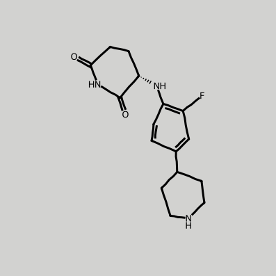 O=C1CC[C@H](Nc2ccc(C3CCNCC3)cc2F)C(=O)N1